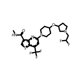 CNC(=O)c1csc2c(C(F)(F)F)cc(N3CCC(OC4CCN(CC(F)F)C4)CC3)nc12